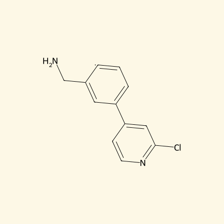 NCc1[c]ccc(-c2ccnc(Cl)c2)c1